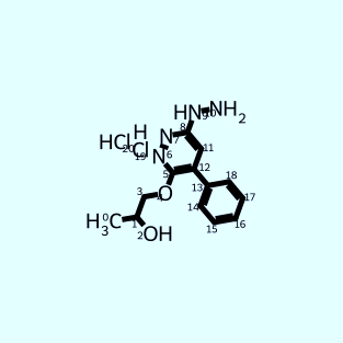 CC(O)COc1nnc(NN)cc1-c1ccccc1.Cl.Cl